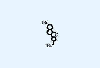 CC(C)(C)CC1CC2OCC3C4CCC(C(C)(C)C)CC4=CCC3C2C1